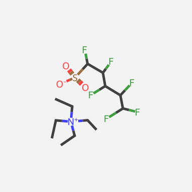 CC[N+](CC)(CC)CC.O=S(=O)([O-])C(F)C(F)C(F)C(F)C(F)F